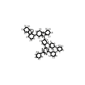 c1ccc(-c2ccc(-c3cc(-n4c5ccccc5c5ccc(-c6cccc7c6oc6ccccc67)cc54)ccc3-c3nc(-c4ccccc4)nc(-c4ccccc4)n3)cc2)cc1